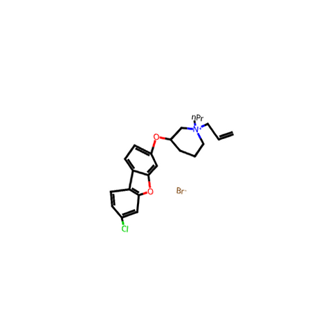 C=CC[N+]1(CCC)CCCC(Oc2ccc3c(c2)oc2cc(Cl)ccc23)C1.[Br-]